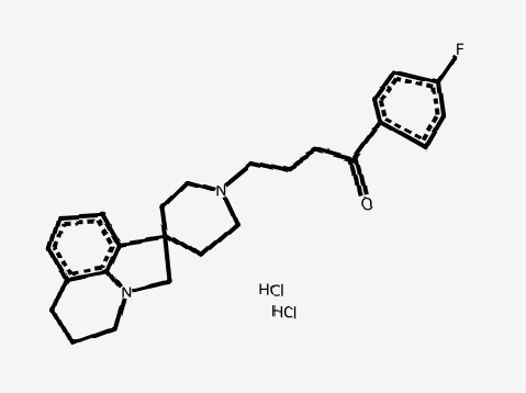 Cl.Cl.O=C(CCCN1CCC2(CC1)CN1CCCc3cccc2c31)c1ccc(F)cc1